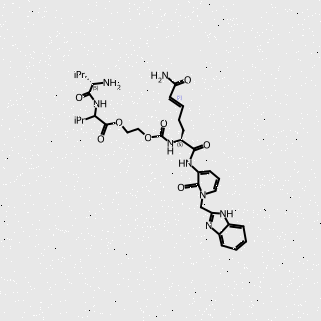 CC(C)C(NC(=O)[C@@H](N)C(C)C)C(=O)OCCOC(=O)N[C@@H](CC/C=C/C(N)=O)C(=O)Nc1cccn(Cc2nc3ccccc3[nH]2)c1=O